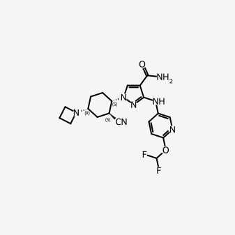 N#C[C@H]1C[C@H](N2CCC2)CC[C@@H]1n1cc(C(N)=O)c(Nc2ccc(OC(F)F)nc2)n1